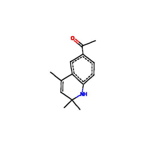 CC(=O)c1ccc2c(c1)C(C)=CC(C)(C)N2